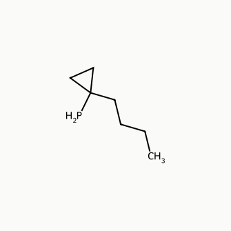 CCCCC1(P)CC1